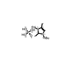 CCCCN1C=C(C)N(CC)C1C.O=P(O)(O)O